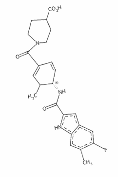 Cc1cc2[nH]c(C(=O)N[C@H]3C=CC(C(=O)N4CCC(C(=O)O)CC4)=CC3C)cc2cc1F